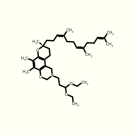 CCOC(CCN1COc2c(C)c(C)c3c(c2C1)CC[C@@](C)(CCC=C(C)CCC=C(C)CCC=C(C)C)O3)OCC